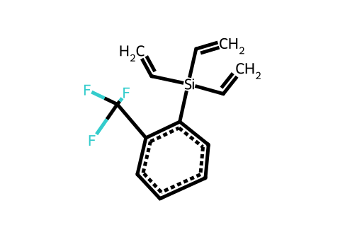 C=C[Si](C=C)(C=C)c1ccccc1C(F)(F)F